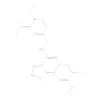 COc1ccc(CNc2nc3cc(F)c(C=O)cc3n3cncc23)cc1OC